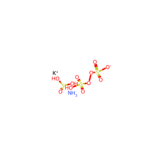 N.O=S(=O)([O-])OOS(=O)(=O)O.O=S(O)O.[K+]